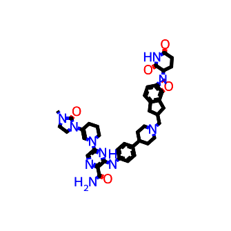 CN1CCN(C2=CN(c3cnc(C(N)=O)c(Nc4ccc(C5CCN(CC6Cc7ccc8c(on8C8CCC(=O)NC8=O)c7C6)CC5)cc4)n3)CCC2)C1=O